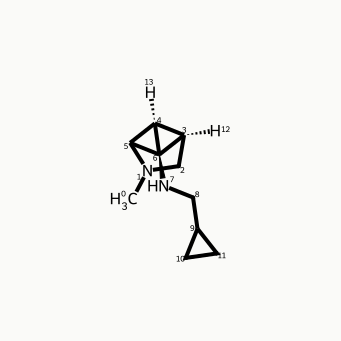 CN1C[C@@H]2[C@@H]3C1[C@@]23NCC1CC1